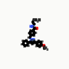 O=C(O)CCNC(=O)c1ccc(Cn2nc(-c3ccc(OC(F)(F)F)cc3)cc2C2CCCCC2)cc1